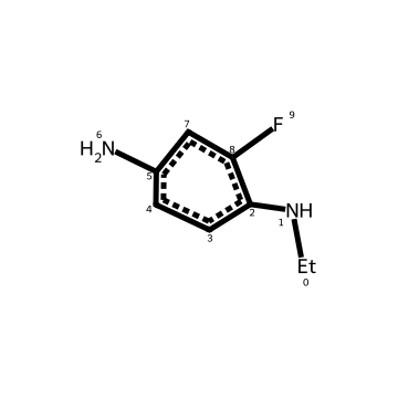 CCNc1ccc(N)cc1F